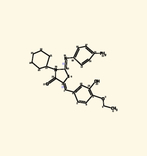 CCOc1ccc(/C=C2\S/C(=N\c3ccc(P)cc3)N(C3CCCCC3)C2=O)cc1O